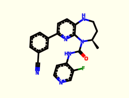 C[C@@H]1CCNc2ccc(-c3cccc(C#N)c3)nc2N1C(=O)Nc1ccncc1F